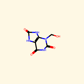 O=c1[nH]c2c(=O)[nH]c(=O)n(CO)c2[nH]1